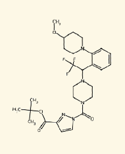 COC1CCN(c2ccccc2C(N2CCN(C(=O)n3ccc(C(=O)OC(C)(C)C)n3)CC2)C(F)(F)F)CC1